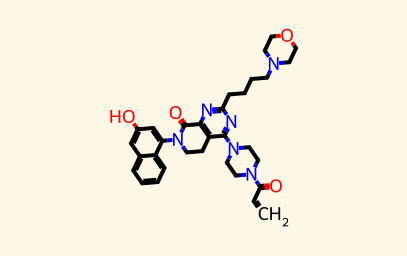 C=CC(=O)N1CCN(c2nc(CCCCN3CCOCC3)nc3c2CCN(c2cc(O)cc4ccccc24)C3=O)CC1